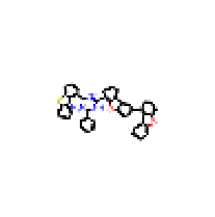 NC(N/C(=N\Cc1cccc2sc3ccccc3c12)c1cccc2c1oc1ccc(-c3cccc4oc5ccccc5c34)cc12)c1ccccc1